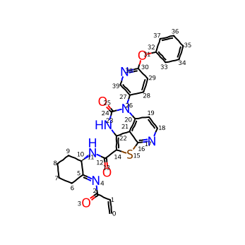 C=CC(=O)/N=C1\CCCC[C@H]1NC(=O)c1sc2nccc3c2c1NC(=O)N3c1ccc(Oc2ccccc2)nc1